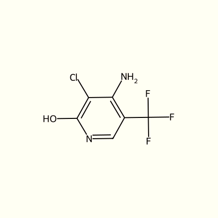 Nc1c(C(F)(F)F)cnc(O)c1Cl